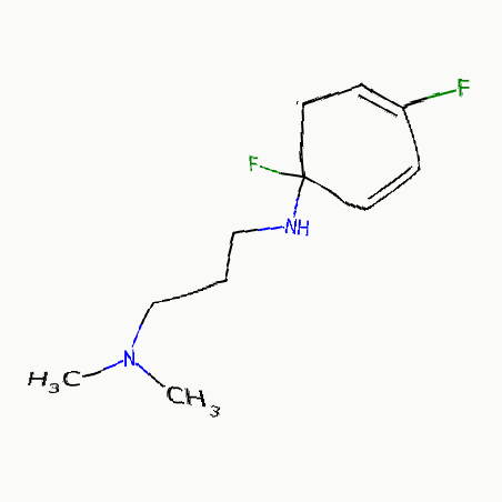 CN(C)CCCNC1(F)[CH]C=C(F)C=C1